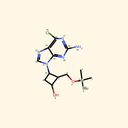 CC(C)(C)[Si](C)(C)OCC1C(O)CC1n1cnc2c(Cl)nc(N)nc21